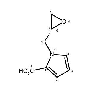 O=C(O)c1cccn1C[C@@H]1CO1